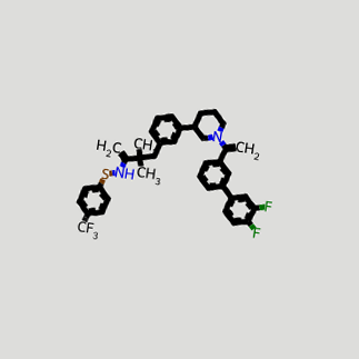 C=C(c1cccc(-c2ccc(F)c(F)c2)c1)N1CCCC(c2cccc(CC(C)(C)C(=C)NSc3ccc(C(F)(F)F)cc3)c2)C1